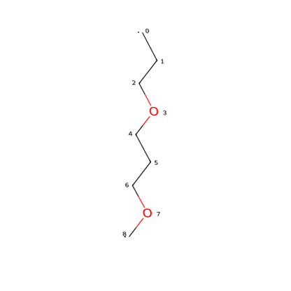 [CH2]CCOCCCO[CH2]